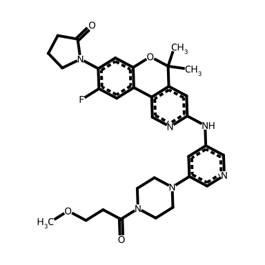 COCCC(=O)N1CCN(c2cncc(Nc3cc4c(cn3)-c3cc(F)c(N5CCCC5=O)cc3OC4(C)C)c2)CC1